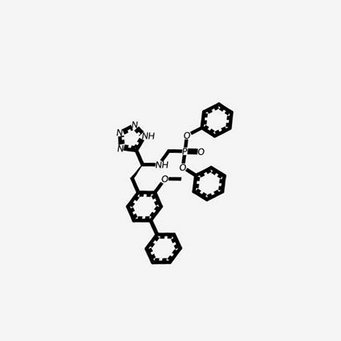 COc1cc(-c2ccccc2)ccc1C[C@H](NCP(=O)(Oc1ccccc1)Oc1ccccc1)c1nnn[nH]1